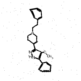 COc1c(C2CCN(CCc3ccccc3)CC2)n[nH]c1-c1ccccc1